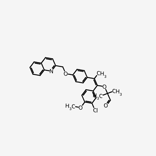 COc1ccc(/C(OC(C)(C)C=O)=C(/C)c2ccc(OCc3ccc4ccccc4n3)cc2)cc1Cl